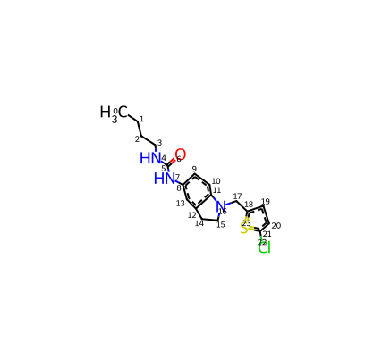 CCCCNC(=O)Nc1ccc2c(c1)CCN2Cc1ccc(Cl)s1